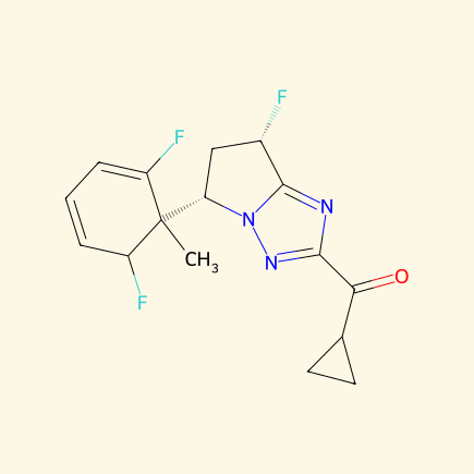 CC1([C@@H]2C[C@H](F)c3nc(C(=O)C4CC4)nn32)C(F)=CC=CC1F